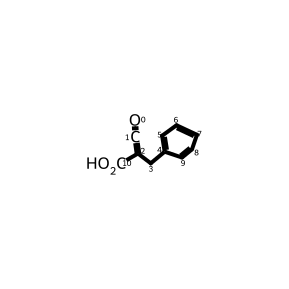 O=C=C(Cc1ccccc1)C(=O)O